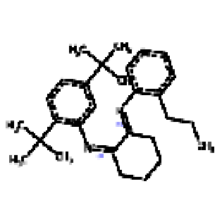 CCCc1ccccc1/N=C1\CCCC\C1=N\c1cc(C(C)(C)C)ccc1C(C)(C)C